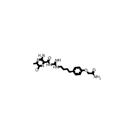 Cc1nc(N)c(C(=O)NC(=N)NCCCCc2ccc(OCC(N)=O)cc2)nc1Cl